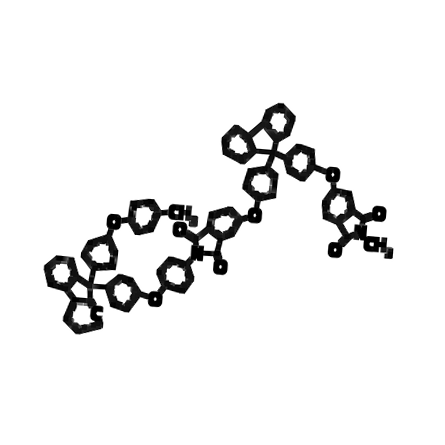 Cc1ccc(Oc2ccc(C3(c4ccc(Oc5ccc(N6C(=O)c7ccc(Oc8ccc(C9(c%10ccc(Oc%11ccc%12c(c%11)C(=O)N(C)C%12=O)cc%10)c%10ccccc%10-c%10ccccc%109)cc8)cc7C6=O)cc5)cc4)c4ccccc4-c4ccccc43)cc2)cc1